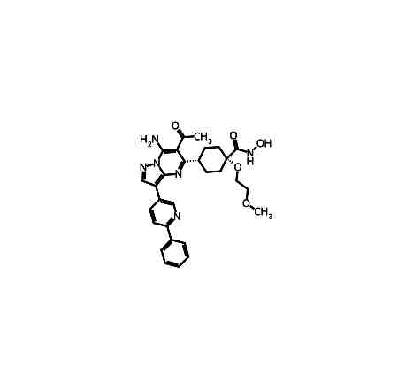 COCCO[C@]1(C(=O)NO)CC[C@H](c2nc3c(-c4ccc(-c5ccccc5)nc4)cnn3c(N)c2C(C)=O)CC1